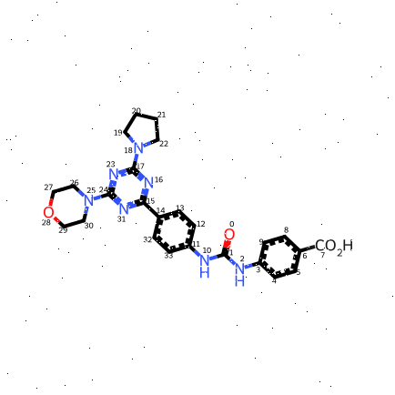 O=C(Nc1ccc(C(=O)O)cc1)Nc1ccc(-c2nc(N3CCCC3)nc(N3CCOCC3)n2)cc1